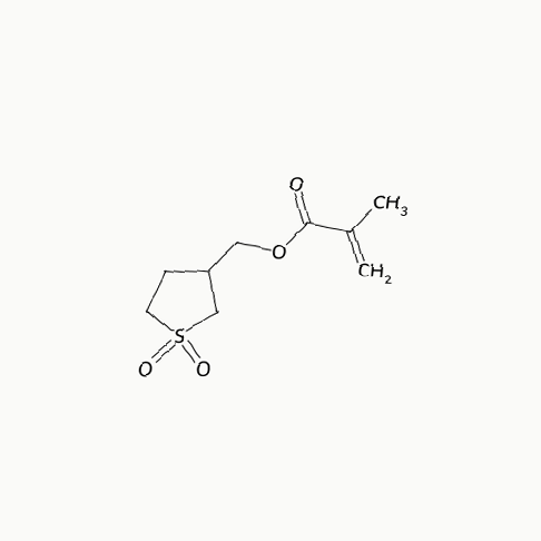 C=C(C)C(=O)OCC1CCS(=O)(=O)C1